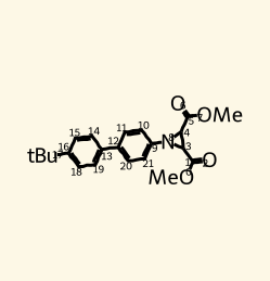 COC(=O)C1C(C(=O)OC)N1c1ccc(-c2ccc(C(C)(C)C)cc2)cc1